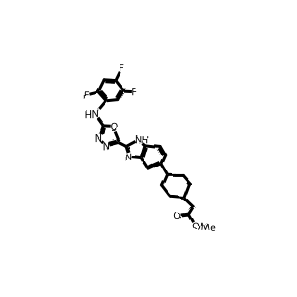 COC(=O)CC1CCC(c2ccc3[nH]c(-c4nnc(Nc5cc(F)c(F)cc5F)o4)nc3c2)CC1